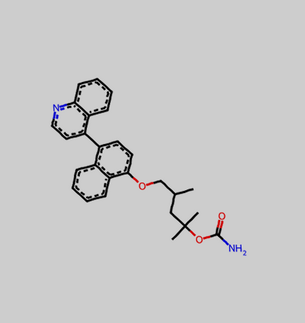 CC(COc1ccc(-c2ccnc3ccccc23)c2ccccc12)CC(C)(C)OC(N)=O